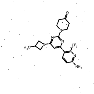 CC1CN(c2cc(-c3ccc(N)nc3C(F)(F)F)nc(N3CCC(=O)CC3)n2)C1